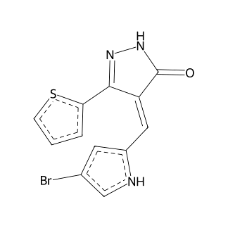 O=C1NN=C(c2cccs2)/C1=C\c1cc(Br)c[nH]1